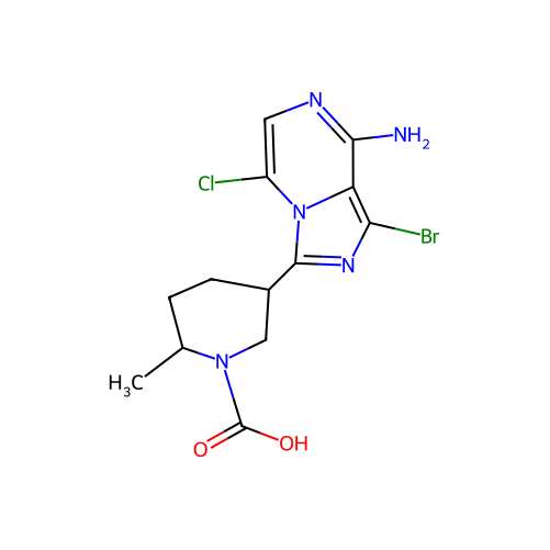 CC1CCC(c2nc(Br)c3c(N)ncc(Cl)n23)CN1C(=O)O